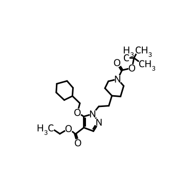 CCOC(=O)c1cnn(CCC2CCN(C(=O)OC(C)(C)C)CC2)c1OCC1CCCCC1